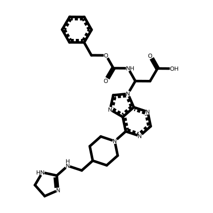 O=C(O)CC(NC(=O)OCc1ccccc1)n1cnc2c(N3CCC(CNC4=NCCN4)CC3)ncnc21